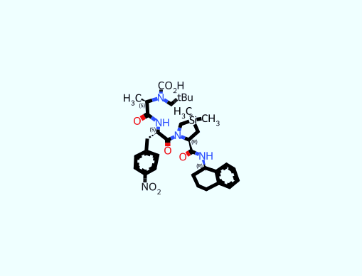 C[C@@H](C(=O)N[C@@H](Cc1ccc([N+](=O)[O-])cc1)C(=O)N1C[Si](C)(C)C[C@H]1C(=O)N[C@@H]1CCCc2ccccc21)N(CC(C)(C)C)C(=O)O